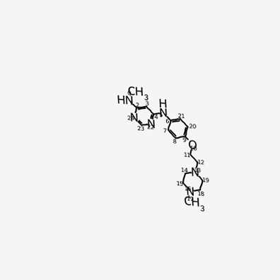 CNc1cc(Nc2ccc(OCCN3CCN(C)CC3)cc2)ncn1